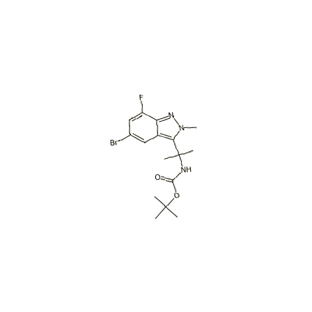 Cn1nc2c(F)cc(Br)cc2c1C(C)(C)NC(=O)OC(C)(C)C